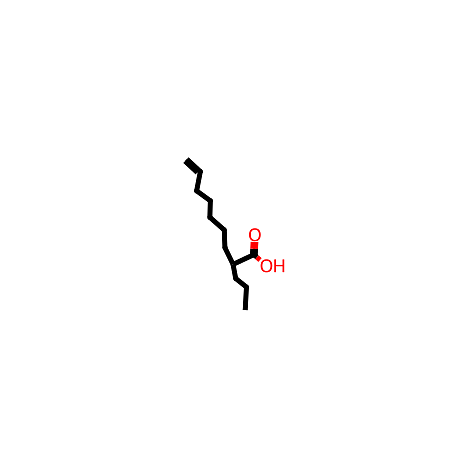 C=CCCCCCC(CCC)C(=O)O